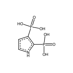 O=P(O)(O)c1cc[nH]c1P(=O)(O)O